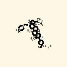 C=C(C)C1CC[C@]2(NCCN3CCS(=O)(=O)CC3)CC[C@]3(C)[C@H](CC[C@@H]4[C@@]5(C)CC=C(C6=CC[C@](CF)(C(=O)O)CC6)C(C)(C)[C@@H]5CC[C@]43C)[C@@H]12